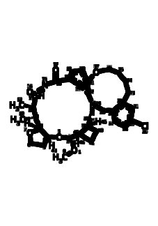 CO[C@H]1C[C@H]2CCO[C@@H]2[C@H](C)[C@@H](C)/[SH](=O)=N\C(=O)c2ccc3c(c2)N(Cc2ccc(Cl)cc2CCCCO3)C[C@@H]2CC[C@H]21